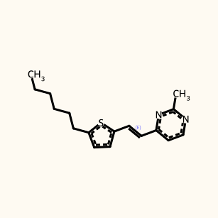 CCCCCCc1ccc(/C=C/c2ccnc(C)n2)s1